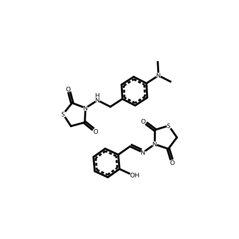 CN(C)c1ccc(CNN2C(=O)CSC2=O)cc1.O=C1CSC(=O)N1N=Cc1ccccc1O